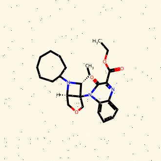 CCOC(=O)c1nc2ccccc2n(C23COC[C@H]2N(C2CCCCCCC2)[C@@H]3CC)c1=O